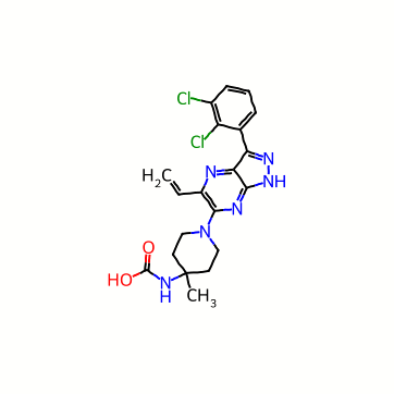 C=Cc1nc2c(-c3cccc(Cl)c3Cl)n[nH]c2nc1N1CCC(C)(NC(=O)O)CC1